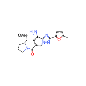 COCC1CCCN1C(=O)c1cc(N)c2nc(-c3ccc(C)o3)nn2c1